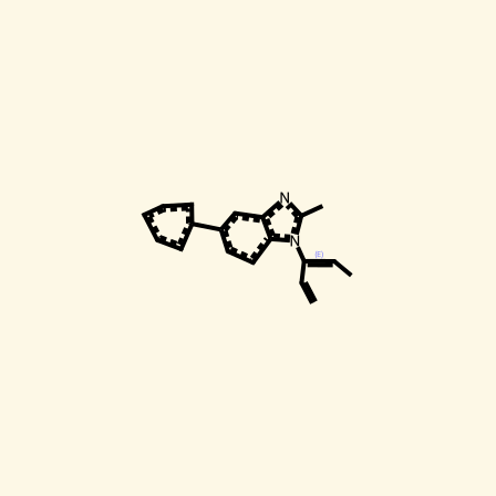 C=C/C(=C\C)n1c(C)nc2cc(-c3ccccc3)ccc21